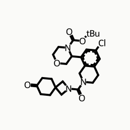 CC(C)(C)OC(=O)N1CCOCC1c1cc(Cl)cc2c1CN(C(=O)N1CC3(CCC(=O)CC3)C1)CC2